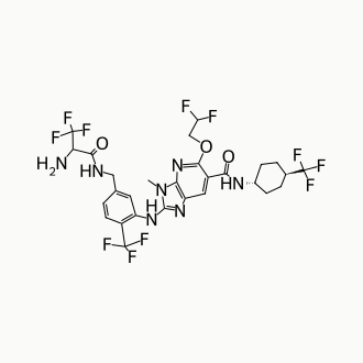 Cn1c(Nc2cc(CNC(=O)C(N)C(F)(F)F)ccc2C(F)(F)F)nc2cc(C(=O)N[C@H]3CC[C@H](C(F)(F)F)CC3)c(OCC(F)F)nc21